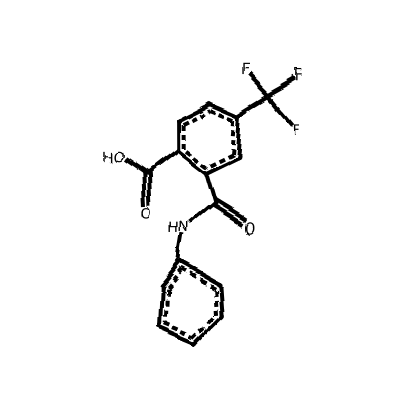 O=C(O)c1ccc(C(F)(F)F)cc1C(=O)Nc1ccccc1